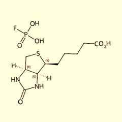 O=C(O)CCCC[C@@H]1SC[C@@H]2NC(=O)N[C@@H]21.O=P(O)(O)F